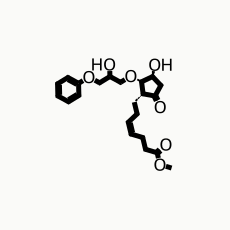 COC(=O)CC/C=C\CC[C@H]1C(=O)C[C@H](O)[C@H]1OCC(O)COc1ccccc1